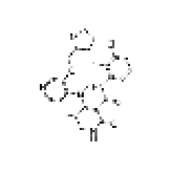 Cc1c(Cl)cccc1NC(=S)C1=C(N(C)c2ccncc2OCC2CCCO2)C(C)CNC1=O